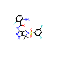 CC1(C)c2[nH]nc(NC(=O)c3c(N)cccc3F)c2CN1S(=O)(=O)c1cc(F)cc(F)c1